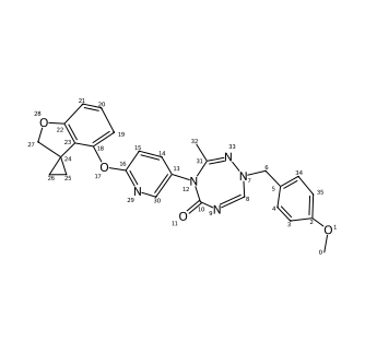 COc1ccc(CN2C=NC(=O)N(c3ccc(Oc4cccc5c4C4(CC4)CO5)nc3)C(C)=N2)cc1